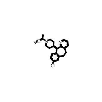 CC(=C=S)N1CCC(=C2c3ccc(Cl)cc3CCc3cccnc32)CC1